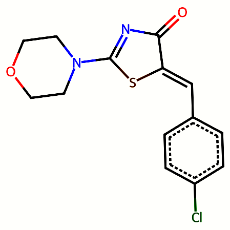 O=C1N=C(N2CCOCC2)SC1=Cc1ccc(Cl)cc1